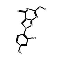 CCOc1nc2nn(-c3ccc(C)cc3O)cc2c(=O)[nH]1